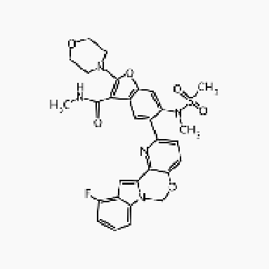 CNC(=O)c1c(N2CCOCC2)oc2cc(N(C)S(C)(=O)=O)c(-c3ccc4c(n3)-c3cc5c(F)cccc5n3CO4)cc12